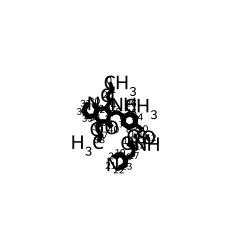 CCOC1NC(c2ccc(CS(=O)(=O)NC(=O)Cc3ccncc3)cc2C)C2=C1c1ncccc1C(OCC)C2=O